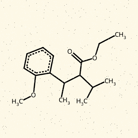 CCOC(=O)C(C(C)C)C(C)c1ccccc1OC